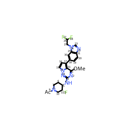 COc1nc(N[C@H]2CCN(C(C)=O)C[C@H]2F)nn2ccc(-c3ccc4ncn(CC(F)F)c4c3)c12